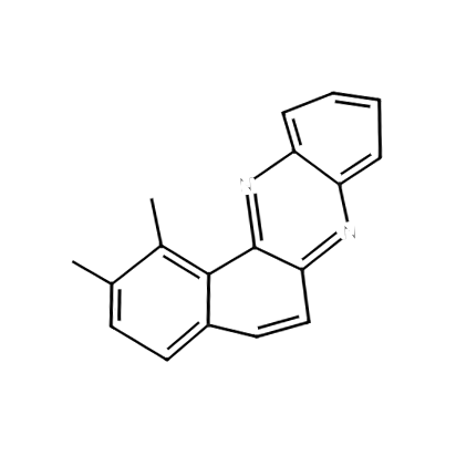 Cc1ccc2ccc3nc4ccccc4nc3c2c1C